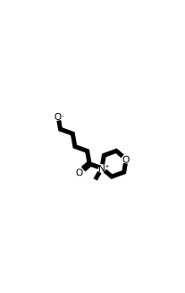 C[N+]1(C(=O)CCCC[O])CCOCC1